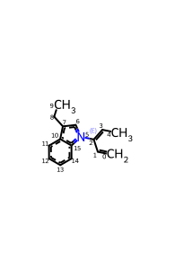 C=C/C(=C\C)n1cc(CC)c2ccccc21